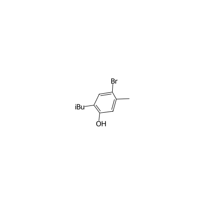 CCC(C)c1cc(Br)c(C)cc1O